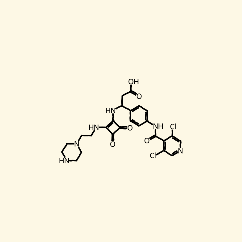 O=C(O)CC(Nc1c(NCCN2CCNCC2)c(=O)c1=O)c1ccc(NC(=O)c2c(Cl)cncc2Cl)cc1